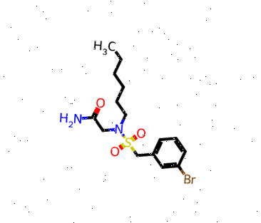 CCCCCCN(CC(N)=O)S(=O)(=O)Cc1cccc(Br)c1